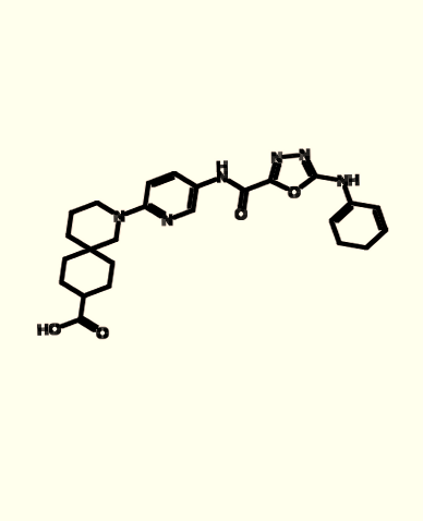 O=C(Nc1ccc(N2CCCC3(CCC(C(=O)O)CC3)C2)nc1)c1nnc(NC2=CCCC=C2)o1